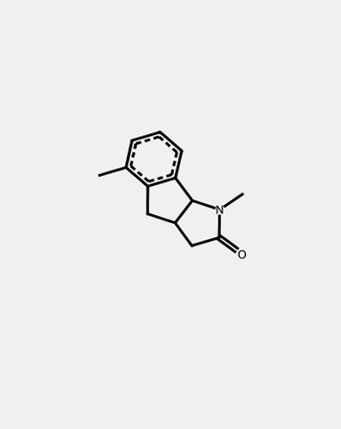 Cc1cccc2c1CC1CC(=O)N(C)C21